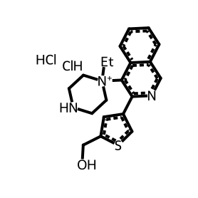 CC[N+]1(c2c(-c3csc(CO)c3)ncc3ccccc23)CCNCC1.Cl.Cl